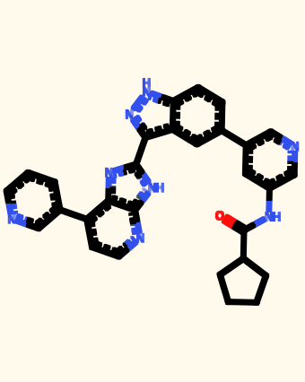 O=C(Nc1cncc(-c2ccc3[nH]nc(-c4nc5c(-c6cccnc6)ccnc5[nH]4)c3c2)c1)C1CCCC1